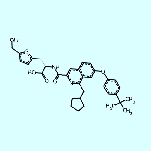 CC(C)(C)c1ccc(Oc2ccc3cc(C(=O)N[C@@H](Cc4ccc(CO)s4)C(=O)O)nc(CC4CCCC4)c3c2)cc1